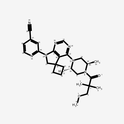 COCC(C)(C)C(=O)N1C[C@H](C)N(c2ncnc3c2C2(CCC2)CN3c2cc(C#N)ccn2)C[C@H]1C